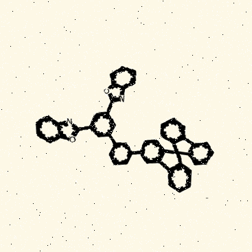 c1cc(-c2cc(-c3nc4ccccc4o3)cc(-c3nc4ccccc4o3)c2)cc(-c2ccc3c(c2)-c2ccccc2C32c3ccccc3-c3ccccc32)c1